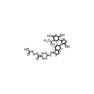 CC(C)c1cc(-c2nnc(O)n2-c2ccc3c(ccn3CCC3CCN(C(=O)CCCC(=O)O)CC3)c2)c(O)cc1O